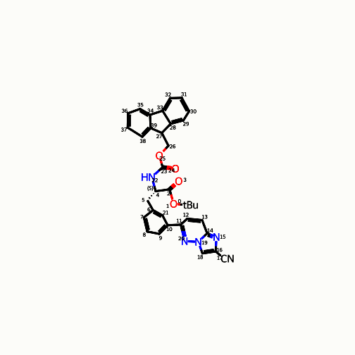 CC(C)(C)OC(=O)[C@H](Cc1cccc(-c2ccc3nc(C#N)cn3n2)c1)NC(=O)OCC1c2ccccc2-c2ccccc21